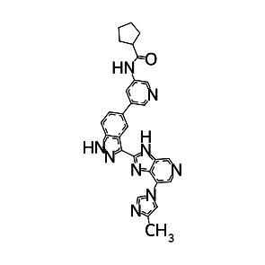 Cc1cn(-c2cncc3[nH]c(-c4n[nH]c5ccc(-c6cncc(NC(=O)C7CCCC7)c6)cc45)nc23)cn1